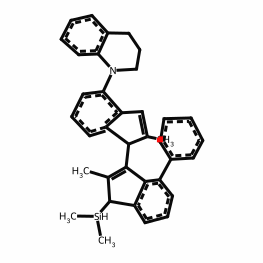 CC1=Cc2c(cccc2N2CCCc3ccccc32)C1C1=C(C)C([SiH](C)C)c2cccc(-c3ccccc3)c21